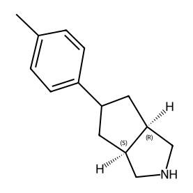 Cc1ccc(C2C[C@H]3CNC[C@H]3C2)cc1